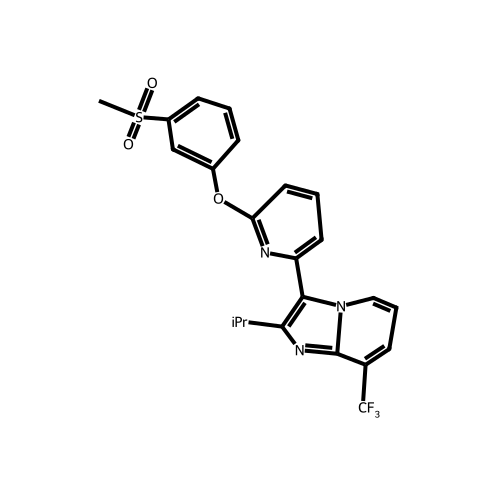 CC(C)c1nc2c(C(F)(F)F)cccn2c1-c1cccc(Oc2cccc(S(C)(=O)=O)c2)n1